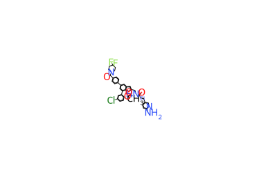 COc1ccc(Cl)cc1-c1cc(-c2ccc(C(=O)N3CCC(F)(F)CC3)cc2)cc2cc(CNC(=O)/C=C/c3ccc(N)nc3)oc12